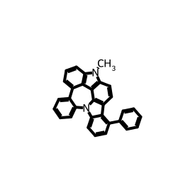 Cn1c2cccc3c4ccccc4n4c5cccc(-c6ccccc6)c5c5ccc1c(c32)c54